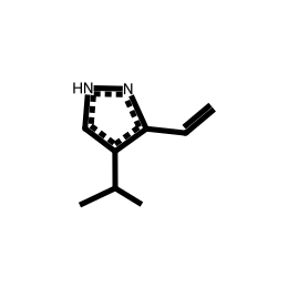 C=Cc1n[nH]cc1C(C)C